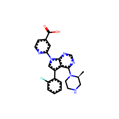 C[C@H]1CNCCN1c1ncnc2c1c(-c1ccccc1F)cn2-c1cc(C(=O)O)ccn1